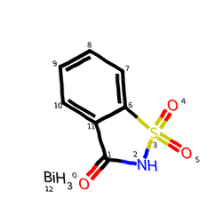 O=C1NS(=O)(=O)c2ccccc21.[BiH3]